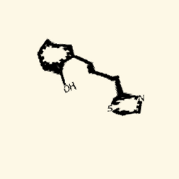 Oc1ccccc1C=CCc1nccs1